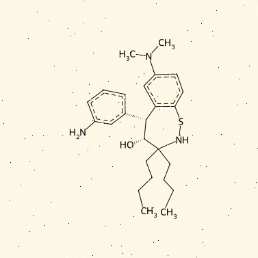 CCCCC1(CCCC)NSc2ccc(N(C)C)cc2[C@@H](c2cccc(N)c2)[C@H]1O